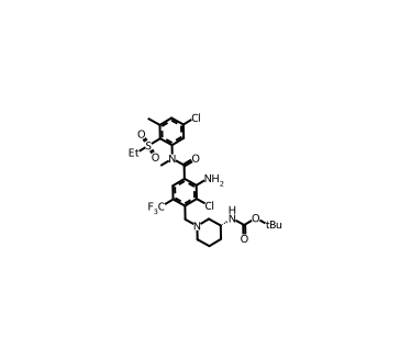 CCS(=O)(=O)c1c(C)cc(Cl)cc1N(C)C(=O)c1cc(C(F)(F)F)c(CN2CCC[C@@H](NC(=O)OC(C)(C)C)C2)c(Cl)c1N